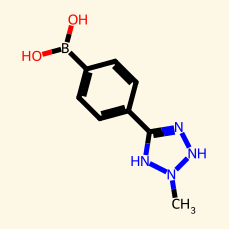 CN1NN=C(c2ccc(B(O)O)cc2)N1